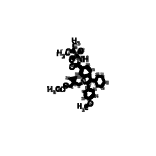 COOCC1(Cn2c(-c3ccc(OC)cc3)c(C3CCCCC3)c3ccc(C(=O)NS(=O)(=O)C(C)C)cc32)CC1